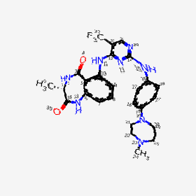 C[C@@H]1NC(=O)c2c(cccc2Nc2nc(Nc3ccc(N4CCN(C)CC4)cc3)ncc2C(F)(F)F)NC1=O